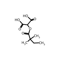 CCC(C)(C)C(=O)OC(C(=O)O)C(=O)O